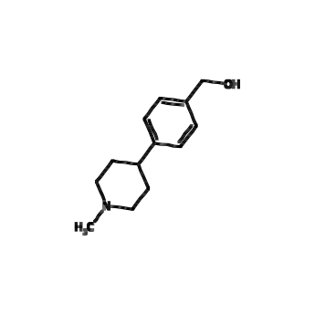 CN1CCC(c2ccc(CO)cc2)CC1